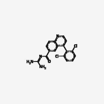 NC(N)=NC(=O)c1ccc2nccc(-c3c(Cl)cccc3Cl)c2c1